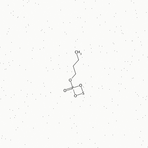 CCCCOP1(=O)OSO1